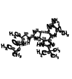 COc1nc(-c2nc(C(C)(C)C)[nH]c2-c2ccnc(NC[C@H](C)NC(=O)OC(C)C)n2)cnc1N